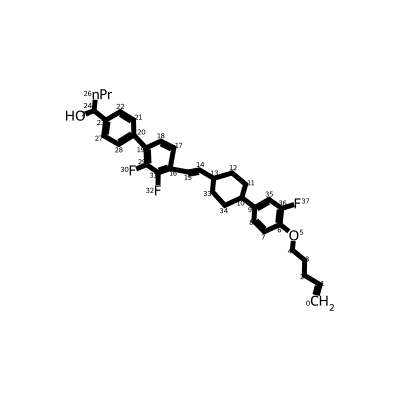 C=CCCCOc1ccc(C2CCC(/C=C/c3ccc(-c4ccc(C(O)CCC)cc4)c(F)c3F)CC2)cc1F